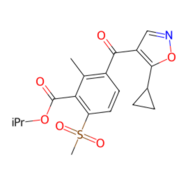 Cc1c(C(=O)c2cnoc2C2CC2)ccc(S(C)(=O)=O)c1C(=O)OC(C)C